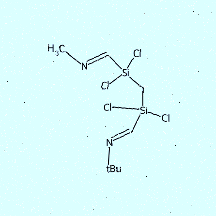 CN=C[Si](Cl)(Cl)C[Si](Cl)(Cl)C=NC(C)(C)C